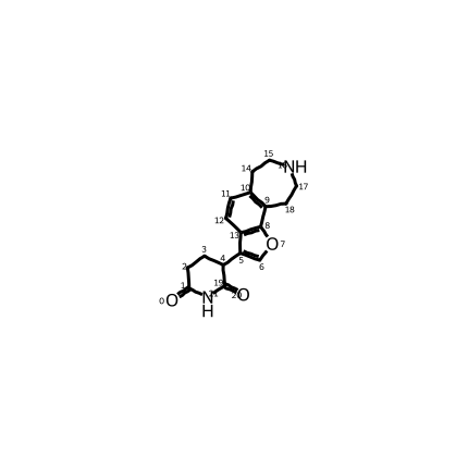 O=C1CCC(c2coc3c4c(ccc23)CCNCC4)C(=O)N1